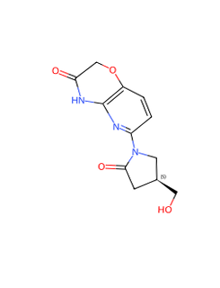 O=C1COc2ccc(N3C[C@@H](CO)CC3=O)nc2N1